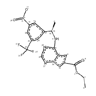 CCOC(=O)c1cc2c(N[C@H](C)c3cc([N+](=O)[O-])cc(C(F)(F)F)c3)ncnn2c1